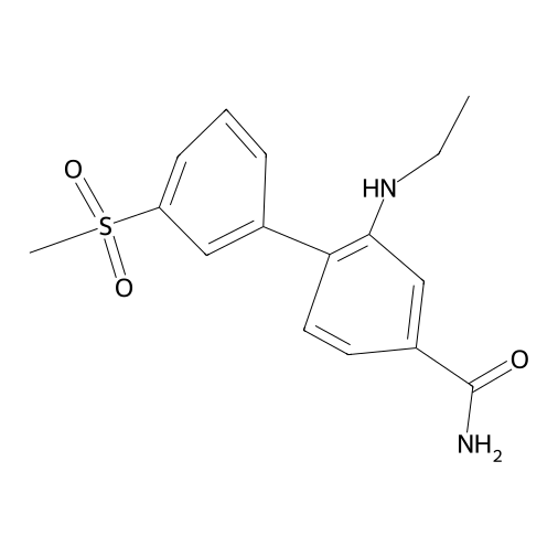 CCNc1cc(C(N)=O)ccc1-c1cccc(S(C)(=O)=O)c1